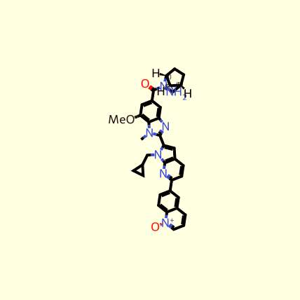 COc1cc(C(=O)N2C[C@H]3CC[C@@H]2[C@@H]3N)cc2nc(-c3cc4ccc(-c5ccc6c(ccc[n+]6[O-])c5)nc4n3CC3CC3)n(C)c12